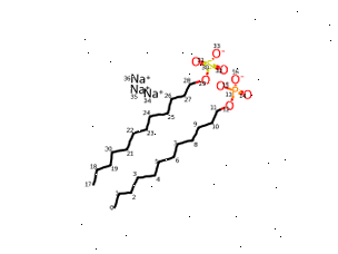 CCCCCCCCCCCCOP(=O)([O-])[O-].CCCCCCCCCCCCOS(=O)(=O)[O-].[Na+].[Na+].[Na+]